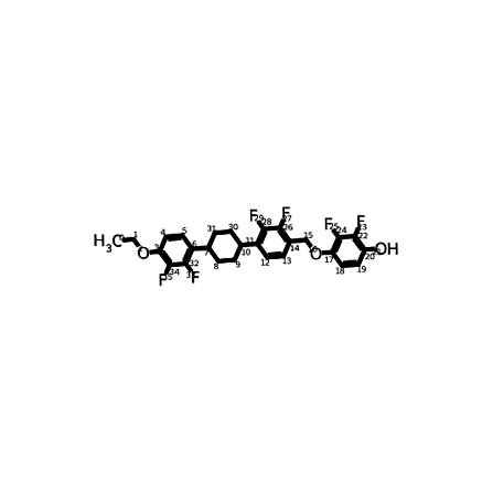 CCOc1ccc(C2CCC(c3ccc(COc4ccc(O)c(F)c4F)c(F)c3F)CC2)c(F)c1F